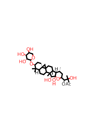 CC(=O)O[C@@H](C1C[C@@H](C)[C@H]2[C@@](O)(O1)[C@H](O)C1(C)C3CC[C@H]4C(C)(C)[C@@H](O[C@@H]5OCC(O)[C@H](O)[C@H]5O)CC[C@@]45CC35CC[C@]21C)C(C)(C)O